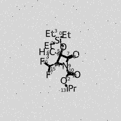 CC[Si](CC)(CC)O[C@@]1(C)C(=O)N(C(=O)OC(C)C)[C@H]1C(F)F